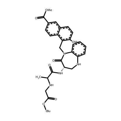 COC(=O)c1ccc2c(CN3C(=O)[C@@H](NC(=O)C(C)NCC(=O)OC(C)(C)C)CNc4ccccc43)c(OC)ccc2c1